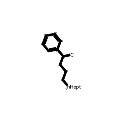 CCCCCCCCCCC(Cl)c1ccccc1